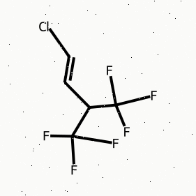 FC(F)(F)C(/C=C/Cl)C(F)(F)F